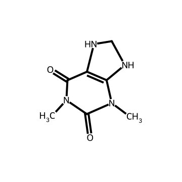 Cn1c2c(c(=O)n(C)c1=O)NCN2